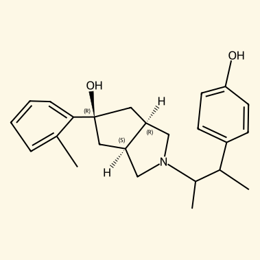 Cc1ccccc1[C@]1(O)C[C@H]2CN(C(C)C(C)c3ccc(O)cc3)C[C@H]2C1